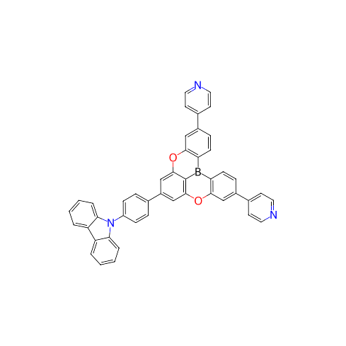 c1ccc2c(c1)c1ccccc1n2-c1ccc(-c2cc3c4c(c2)Oc2cc(-c5ccncc5)ccc2B4c2ccc(-c4ccncc4)cc2O3)cc1